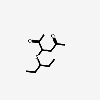 CCC(CC)SC(CC(C)=O)C(C)=O